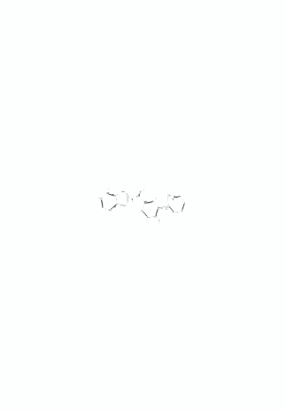 O=C(c1ccc(Cl)c(-c2ccccn2)c1)N1Cc2ccccc2C1